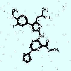 COC(=O)c1nc(-c2cccs2)cnc1Nc1nc(-c2ccc(OC)c(F)c2)c(CC(C)C)s1